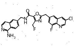 Nc1nccc2cc(CNC(=O)c3oc(Cc4cc(F)c5ncc(Cl)cc5c4)nc3CF)ccc12